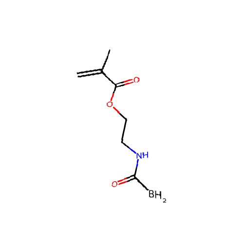 BC(=O)NCCOC(=O)C(=C)C